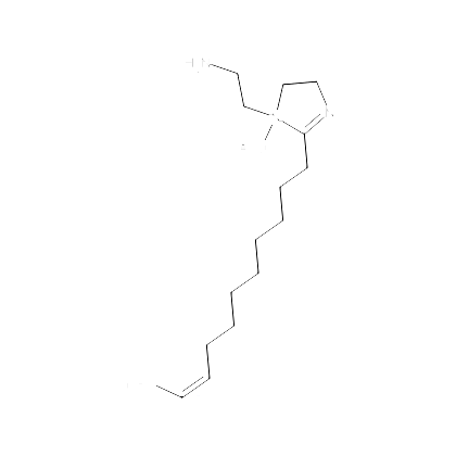 CCCCCCCC/C=C\CCCCCCCCC1=NCC[N+]1(CCN)OC(C)=O